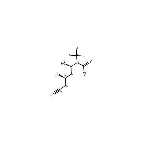 CC(C)(C)C(C(=O)O)[C@H](O)C[C@H](O)CC#N